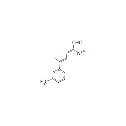 C=N/C(C=O)=C\C=C(/C)c1cccc(C(F)(F)F)c1